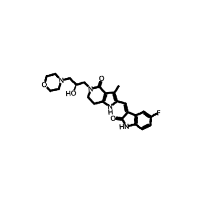 Cc1c(C=C2C(=O)Nc3ccc(F)cc32)[nH]c2c1C(=O)N(C[C@@H](O)CN1CCOCC1)CC2